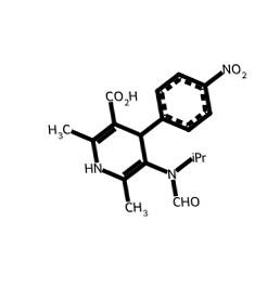 CC1=C(C(=O)O)C(c2ccc([N+](=O)[O-])cc2)C(N(C=O)C(C)C)=C(C)N1